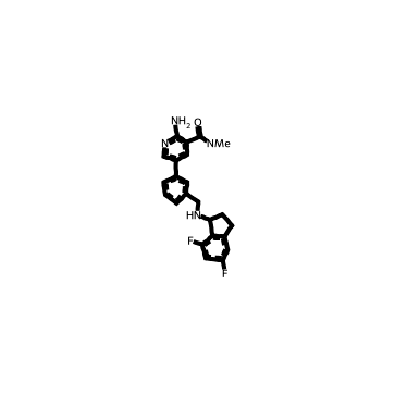 CNC(=O)c1cc(-c2cccc(CNC3CCc4cc(F)cc(F)c43)c2)cnc1N